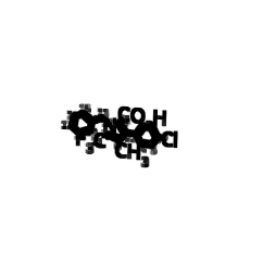 Cc1c(-c2ccc(Cl)cc2)c(C(=O)O)n(Cc2ccccc2)c1C(F)(F)F